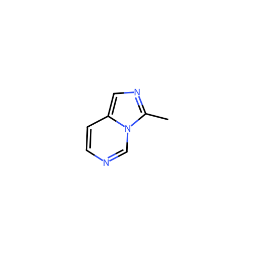 Cc1ncc2ccncn12